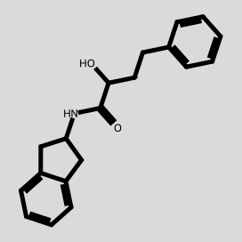 O=C(NC1Cc2ccccc2C1)C(O)[CH]Cc1ccccc1